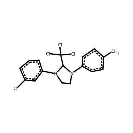 Cc1ccc(N2CCN(c3cccc(Cl)c3)C2C(Cl)(Cl)Cl)cc1